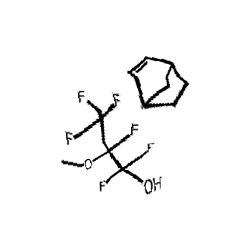 C1=CC2CCC1C2.COC(F)(C(O)(F)F)C(F)(F)F